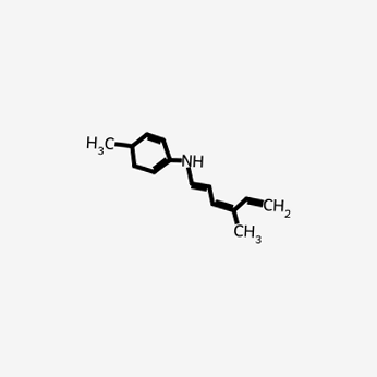 C=C/C(C)=C\C=C\NC1=CCC(C)C=C1